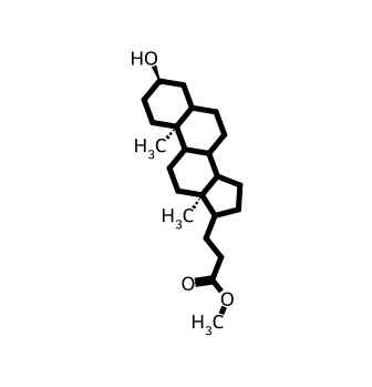 COC(=O)CCC1CCC2C3CCC4C[C@H](O)CC[C@]4(C)C3CC[C@]12C